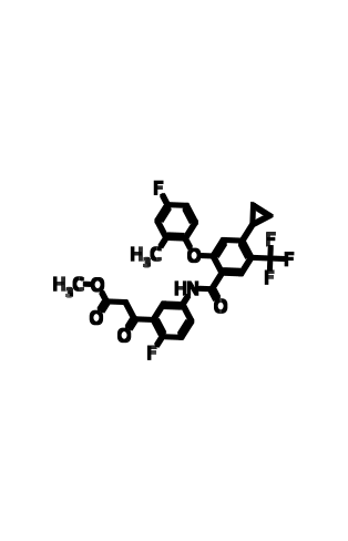 COC(=O)CC(=O)c1cc(NC(=O)c2cc(C(F)(F)F)c(C3CC3)cc2Oc2ccc(F)cc2C)ccc1F